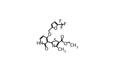 CCOC(=O)c1sc(-c2c(OCc3ccc(C(F)(F)F)o3)cc[nH]c2=O)nc1C